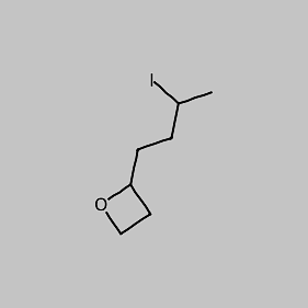 CC(I)CCC1CCO1